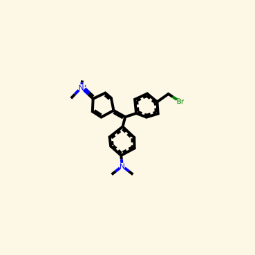 CN(C)c1ccc(C(=C2C=CC(=[N+](C)C)C=C2)c2ccc(CBr)cc2)cc1